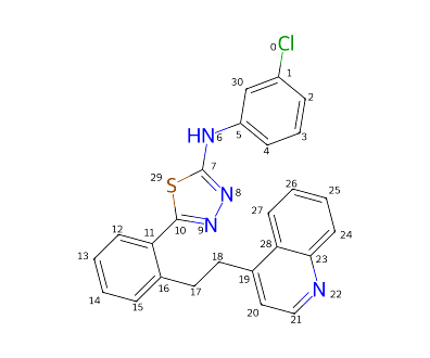 Clc1cccc(Nc2nnc(-c3ccccc3CCc3ccnc4ccccc34)s2)c1